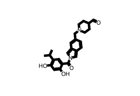 CC(C)c1cc(C(=O)n2cc3ccc(CN4CCC(C=O)CC4)cc3c2)c(O)cc1O